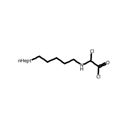 CCCCCCCCCCCCNC(Cl)C(=O)Cl